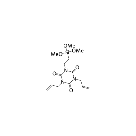 C=CCn1c(=O)n(CC=C)c(=O)n(CC[Si](OC)(OC)OC)c1=O